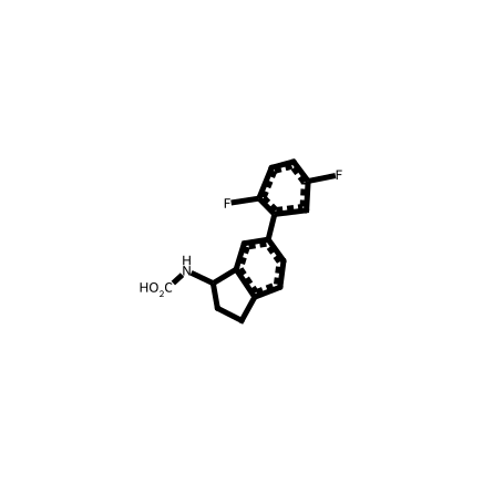 O=C(O)NC1CCc2ccc(-c3cc(F)ccc3F)cc21